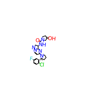 O=C(NC1C=NN2C=CC(N3CCC[C@@H]3c3cc(F)ccc3Cl)=NC12)N1CC[C@@H](O)C1